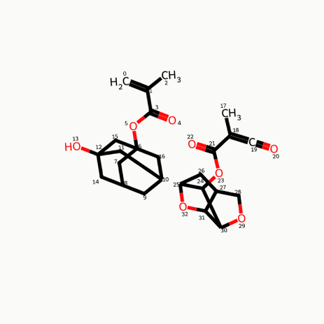 C=C(C)C(=O)OC12CC3CC(CC(O)(C3)C1)C2.CC(=C=O)C(=O)OC1C2CC3COC1C3O2